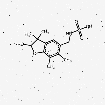 Cc1c(CNS(=O)(=O)O)cc2c(c1C)OC(O)C2(C)C